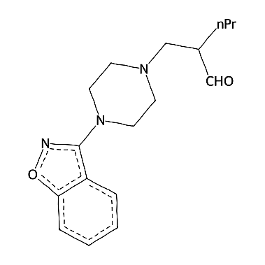 CCCC(C=O)CN1CCN(c2noc3ccccc23)CC1